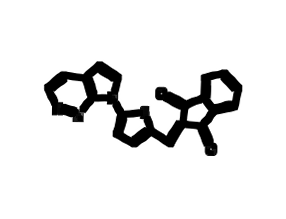 O=C1C(=Cc2ccc(-n3ccc4ccnnc43)s2)C(=O)c2ccccc21